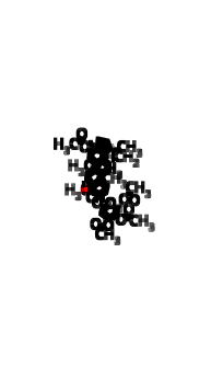 C=C(C)[C@@H]1CC[C@]2(COC(C)=O)CC[C@]3(C)[C@H](CCC4[C@@]5(C)CC[C@@H](O[C@H]6C[C@@H](OC(C)=O)[C@H](OC(C)=O)[C@@H](COC(C)=O)O6)C(C)(C)[C@@H]5CC[C@]43C)[C@@H]12